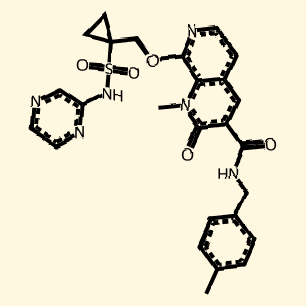 Cc1ccc(CNC(=O)c2cc3ccnc(OCC4(S(=O)(=O)Nc5cnccn5)CC4)c3n(C)c2=O)cc1